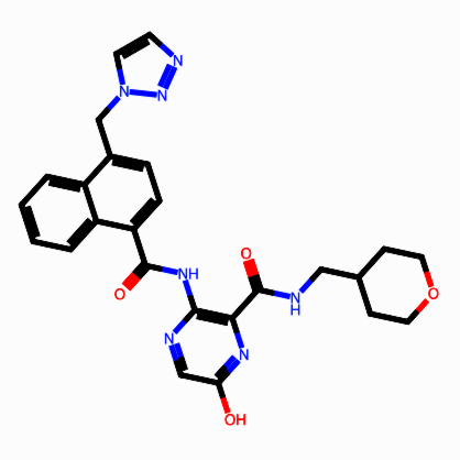 O=C(NCC1CCOCC1)c1nc(O)cnc1NC(=O)c1ccc(Cn2ccnn2)c2ccccc12